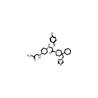 NC(=O)CN[C@H]1CC[C@@H](N[C@H](Cc2ccc(Cl)cc2)C(=O)N2CCC(Cn3cncn3)(C3CCCCC3)CC2)CC1